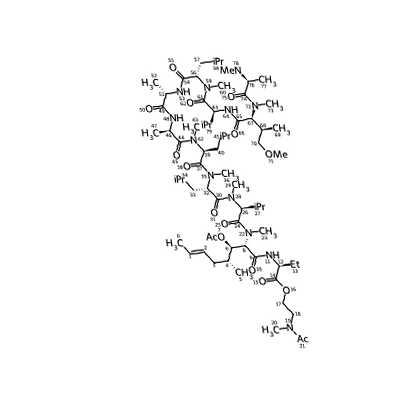 C/C=C/C[C@@H](C)[C@@H](OC(C)=O)[C@@H](C(=O)N[C@@H](CC)C(=O)OCCN(C)C(C)=O)N(C)C(=O)[C@H](C(C)C)N(C)C(=O)[C@H](CC(C)C)N(C)C(=O)[C@H](CC(C)C)N(C)C(=O)[C@@H](C)NC(=O)[C@H](C)NC(=O)[C@H](CC(C)C)N(C)C(=O)[C@@H](NC(=O)[C@H]([C@@H](C)COC)N(C)C(=O)[C@H](C)NC)C(C)C